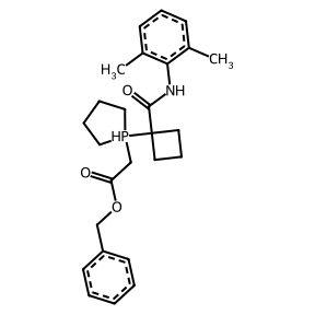 Cc1cccc(C)c1NC(=O)C1([PH]2(CC(=O)OCc3ccccc3)CCCC2)CCC1